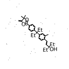 C=C1OB(c2ccc(C(CC)(CC)c3ccc(/C=C/C(O)(CC)CC)c(C)c3)cc2)OC1(C)C